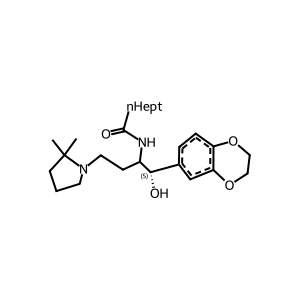 CCCCCCCC(=O)NC(CCN1CCCC1(C)C)[C@@H](O)c1ccc2c(c1)OCCO2